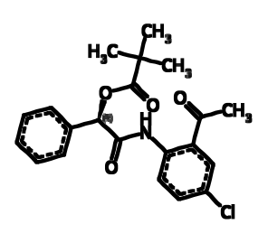 CC(=O)c1cc(Cl)ccc1NC(=O)[C@H](OC(=O)C(C)(C)C)c1ccccc1